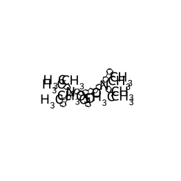 CC(C)(C)c1ccc(N(c2ccc3c(c2)C(C)(C)c2ccccc2-3)c2ccc3c(c2)oc2cc4c(S(=O)(=O)c5ccccc5)c5oc6cc(N(c7ccc(C(C)(C)C)cc7)c7ccc8c(c7)C(C)(C)c7ccccc7-8)ccc6c5cc4cc23)cc1